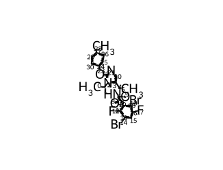 CCn1c(C(C)NS(=O)(=O)c2c(F)c(Br)cc(F)c2Br)cnc1Oc1ccc(C)cc1